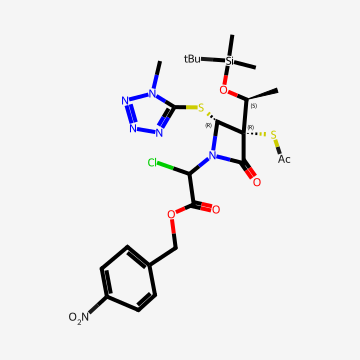 CC(=O)S[C@]1([C@H](C)O[Si](C)(C)C(C)(C)C)C(=O)N(C(Cl)C(=O)OCc2ccc([N+](=O)[O-])cc2)[C@@H]1Sc1nnnn1C